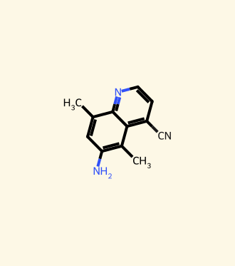 Cc1cc(N)c(C)c2c(C#N)ccnc12